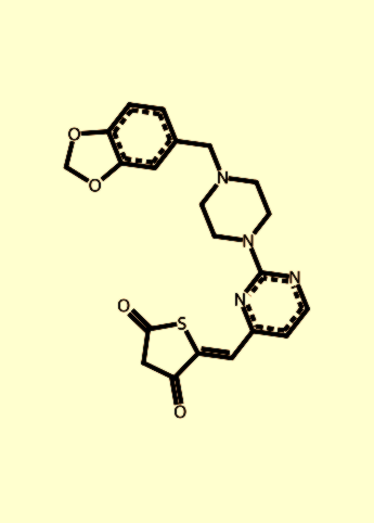 O=C1CC(=O)C(=Cc2ccnc(N3CCN(Cc4ccc5c(c4)OCO5)CC3)n2)S1